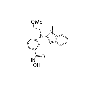 COCCN(c1cccc(C(=O)NO)c1)c1nc2ccccc2[nH]1